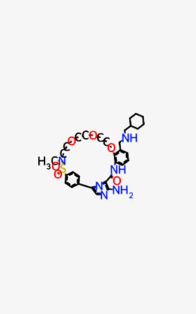 CN1CCOCCOCCOc2c(CNCC3CCCCC3)cccc2NC(=O)c2nc(cnc2N)-c2ccc(cc2)S1(=O)=O